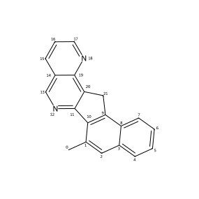 Cc1cc2ccccc2c2c1-c1ncc3cccnc3c1C2